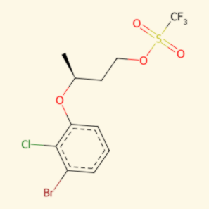 C[C@@H](CCOS(=O)(=O)C(F)(F)F)Oc1cccc(Br)c1Cl